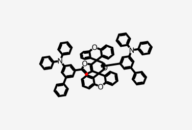 c1ccc(-c2cc(-c3cc4c(o3)C3(c5ccccc5Oc5ccccc53)c3cc(-c5cc(-c6ccccc6)cc(N(c6ccccc6)c6ccccc6)c5)oc3C43c4ccccc4Oc4ccccc43)cc(N(c3ccccc3)c3ccccc3)c2)cc1